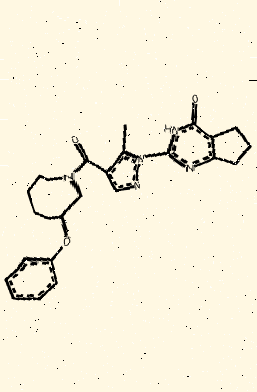 Cc1c(C(=O)N2CCCC(Oc3ccccc3)C2)cnn1-c1nc2c(c(=O)[nH]1)CCC2